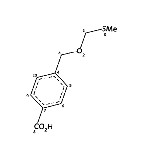 CSCOCc1ccc(C(=O)O)cc1